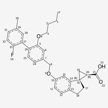 CCCCOc1cc(COc2ccc3c(c2)[C@]2(CC3)C[C@H]2C(=O)O)ccc1-c1cc(C)ccc1F